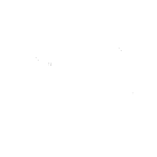 Cc1ccc(-c2ccc3c(c2)CN(C)CC=C3c2cc(F)ccc2F)nn1